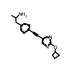 CC(N)Cc1ccc(C#Cc2cnc(OC3CCC3)nc2)cc1